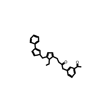 CCC1C(CCC(=O)Cc2cccc(C(C)=O)c2)=CC=C1CC1C=CC(c2ccccc2)=C1